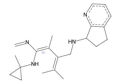 C=N/C(NC1(C)CC1)=C(\C)C(CNC1CCc2cccnc21)=C(C)C